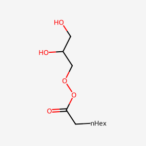 CCCCCCCC(=O)OOCC(O)CO